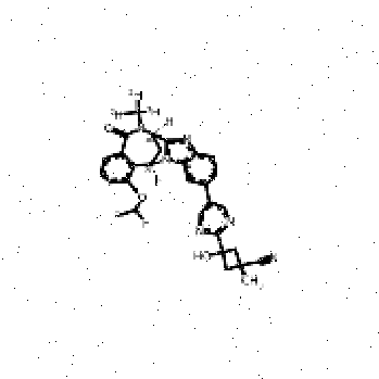 [2H]C([2H])([2H])N1C(=O)c2cccc(OC(F)F)c2[C@H]2C[C@@H]1c1nc3ccc(-c4cnc(C5(O)CC(C)(C#N)C5)nc4)cc3n12